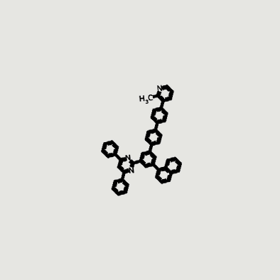 Cc1ncccc1-c1ccc(-c2ccc(-c3cc(-c4nc(-c5ccccc5)cc(-c5ccccc5)n4)cc(-c4cccc5ccccc45)c3)cc2)cc1